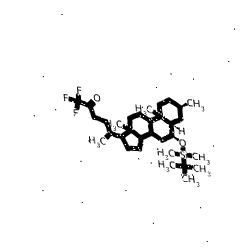 CC(CCC(=O)C(F)(F)F)C1CCC2C3C[C@H](O[Si](C)(C)C(C)(C)C)[C@@H]4C[C@H](C)CCC4(C)C3CCC12C